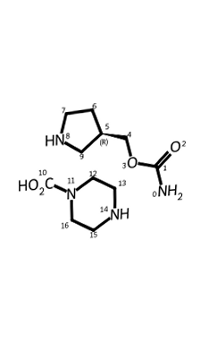 NC(=O)OC[C@@H]1CCNC1.O=C(O)N1CCNCC1